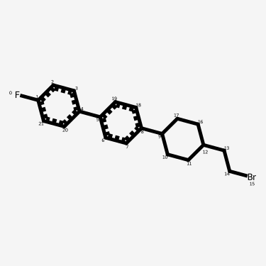 Fc1ccc(-c2ccc(C3CCC(CCBr)CC3)cc2)cc1